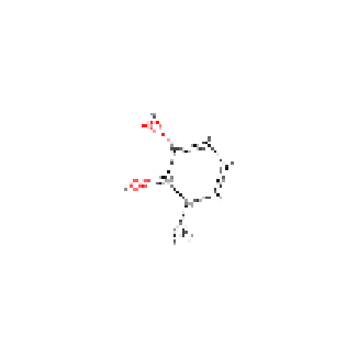 O=C1C(O)=CC=CC1C(F)(F)F